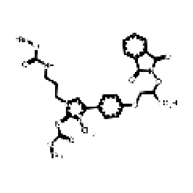 Cn1c(-c2ccc(OCC(ON3C(=O)c4ccccc4C3=O)C(=O)O)cc2)cn(CCCNC(=O)OC(C)(C)C)/c1=N/C(=O)OC(C)(C)C